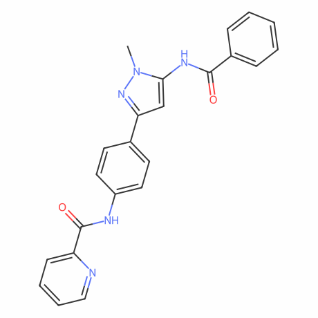 Cn1nc(-c2ccc(NC(=O)c3ccccn3)cc2)cc1NC(=O)c1ccccc1